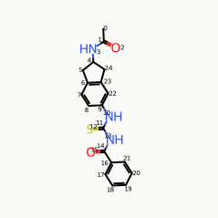 CC(=O)NC1Cc2ccc(NC(=S)NC(=O)c3ccccc3)cc2C1